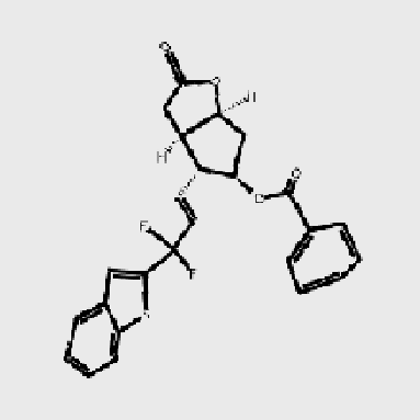 O=C1C[C@@H]2[C@@H](/C=C/C(F)(F)c3cc4ccccc4s3)[C@H](OC(=O)c3ccccc3)C[C@@H]2O1